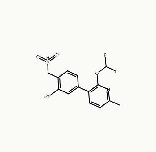 Cc1ccc(-c2ccc(C[SH](=O)=O)c(C(C)C)c2)c(OC(F)F)n1